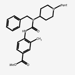 CCCC(C)N1CCC(N(Cc2ccccc2)C(=O)Nc2ccc(C(=O)OC)cc2C)CC1